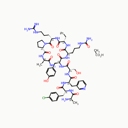 CC(=O)O.CC(C)C[C@H](NC(=O)[C@@H](CCCNC(N)=O)NC(=O)[C@H](Cc1ccc(O)cc1)NC(=O)[C@H](CO)NC(=O)[C@@H](Cc1cccnc1)NC(=O)[C@@H](Cc1ccc(Cl)cc1)NC(=O)[C@@H](C)N)C(=O)N[C@@H](CCCNC(=N)N)C(=O)N1CCC[C@H]1C(=O)N[C@H](C)C(N)=O